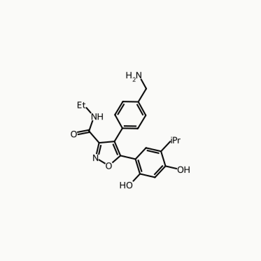 CCNC(=O)c1noc(-c2cc(C(C)C)c(O)cc2O)c1-c1ccc(CN)cc1